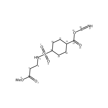 COC(=O)CCNS(=O)(=O)C1CCC(C(=O)OB=N)CC1